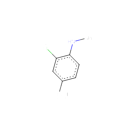 CCCNc1ccc(C(=O)O)cc1Cl